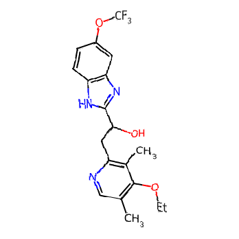 CCOc1c(C)cnc(CC(O)c2nc3cc(OC(F)(F)F)ccc3[nH]2)c1C